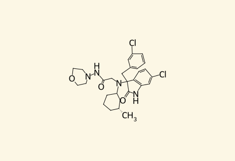 C[C@@H]1CCCC(N(CC(=O)NN2CCOCC2)C2(Cc3cccc(Cl)c3)C(=O)Nc3cc(Cl)ccc32)C1